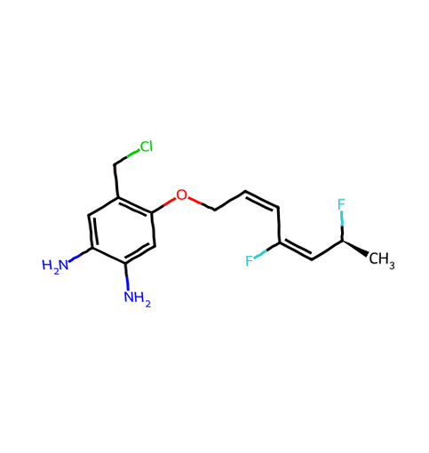 C[C@H](F)/C=C(F)\C=C/COc1cc(N)c(N)cc1CCl